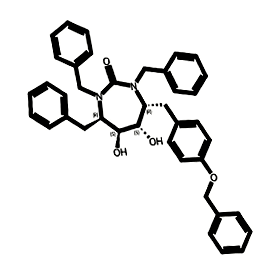 O=C1N(Cc2ccccc2)[C@H](Cc2ccccc2)[C@H](O)[C@@H](O)[C@@H](Cc2ccc(OCc3ccccc3)cc2)N1Cc1ccccc1